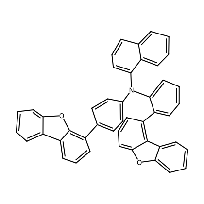 c1ccc(N(c2ccc(-c3cccc4c3oc3ccccc34)cc2)c2cccc3ccccc23)c(-c2cccc3oc4ccccc4c23)c1